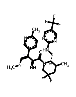 CN/C=C(\C(=N)C(=O)N1CC(F)(F)CC(C)[C@H]1CNc1ncc(C(F)(F)F)cn1)c1ccc(C)nc1